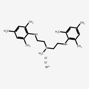 Cc1cc(C)c(NCCN(C)CCNc2c(C)cc(C)cc2C)c(C)c1.[Cl-].[Cl-].[Ni+2]